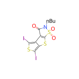 CCCCN1C(=O)c2c(sc3c(I)sc(I)c23)S1(=O)=O